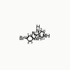 NC1(c2nc3cc(Br)ccc3[nH]2)CCNCC1